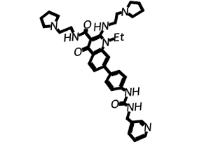 CCn1c(NCCN2CCCC2)c(C(=O)NCCN2CCCC2)c(=O)c2ccc(-c3ccc(NC(=O)NCc4cccnc4)cc3)cc21